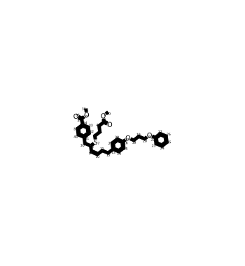 COC(=O)CCCSC(/C=C\CCc1ccc(OCCCOc2ccccc2)cc1)Cc1ccc(C(=O)OC)cc1